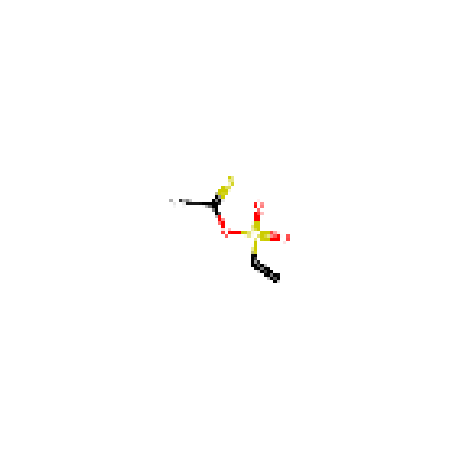 C=CS(=O)(=O)OC(=S)CCC